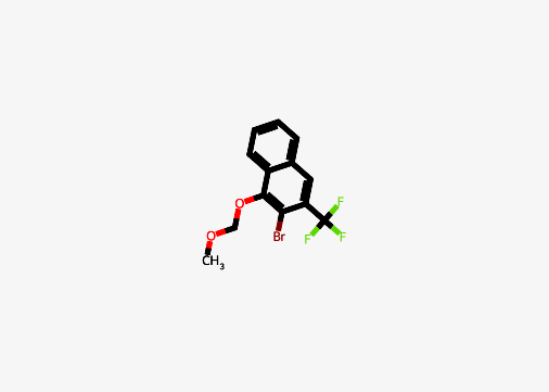 COCOc1c(Br)c(C(F)(F)F)cc2ccccc12